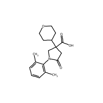 Cc1cccc(C)c1N1CC(C(=O)O)(C2CCOCC2)CC1=O